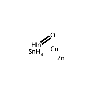 [Cu].[O]=[InH].[SnH4].[Zn]